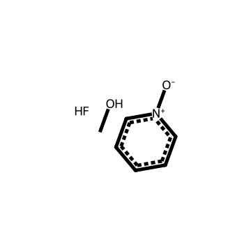 CO.F.[O-][n+]1ccccc1